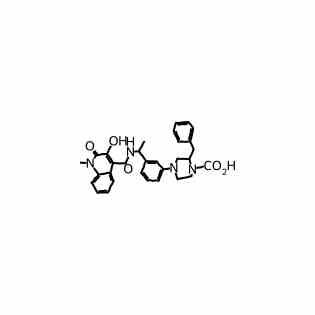 CC(NC(=O)c1c(O)c(=O)n(C)c2ccccc12)c1cccc(N2CCN(C(=O)O)C(Cc3ccccc3)C2)c1